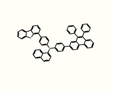 c1ccc(-c2c(-c3ccccc3)c3cc(-c4ccc(N(c5ccc(-c6cccc7c6sc6ccccc67)cc5)c5cccc6ccccc56)cc4)ccc3c3ccccc23)cc1